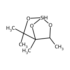 CC1O[SiH]2OC(C)(C)C1(C)O2